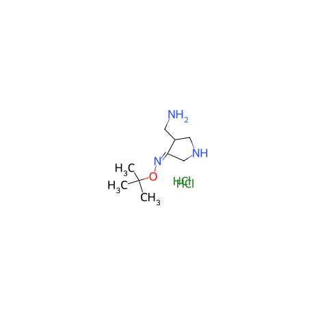 CC(C)(C)O/N=C1\CNCC1CN.Cl.Cl